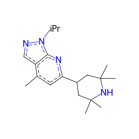 Cc1cc(C2CC(C)(C)NC(C)(C)C2)nc2c1cnn2C(C)C